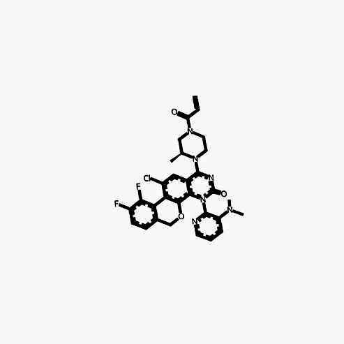 C=CC(=O)N1CCN(c2nc(=O)n(-c3ncccc3N(C)C)c3c4c(c(Cl)cc23)-c2c(ccc(F)c2F)CO4)[C@@H](C)C1